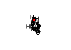 CN1[C@@H]2C[C@H]1CN(c1ccc(Nc3ncc4c(n3)N(c3cccc(C(C)(C)O)n3)[C@@H]3CC(C)(C)OC[C@]43C)cc1)C2